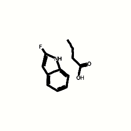 CCCC(=O)O.Fc1cc2ccccc2[nH]1